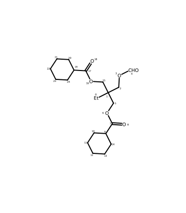 CCC(COC=O)(COC(=O)C1CCCCC1)COC(=O)C1CCCCC1